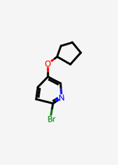 Brc1ccc(OC2CCCC2)cn1